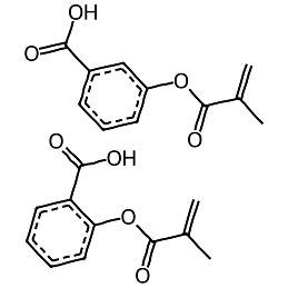 C=C(C)C(=O)Oc1cccc(C(=O)O)c1.C=C(C)C(=O)Oc1ccccc1C(=O)O